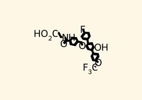 O=C(O)CCNC(=O)c1ccc(COc2cc(-c3ccc(OC(F)(F)F)cc3)c(O)cc2-c2ccc(F)cc2)cc1